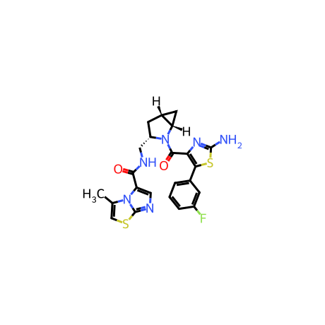 Cc1csc2ncc(C(=O)NC[C@@H]3C[C@@H]4C[C@@H]4N3C(=O)c3nc(N)sc3-c3cccc(F)c3)n12